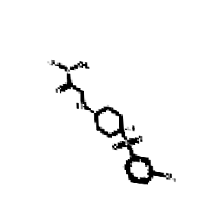 CN(C(=O)CN[C@H]1CC[C@@](F)(S(=O)(=O)c2cccc(C(F)(F)F)c2)CC1)C(C)(C)C